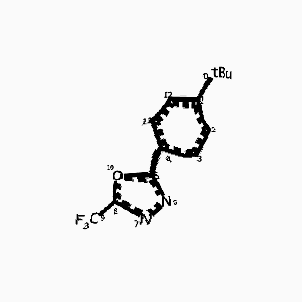 CC(C)(C)c1ccc(-c2nnc(C(F)(F)F)o2)cc1